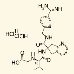 CC(C)[C@@H](NCC(=O)O)C(=O)NC1(C(=O)NCc2ccc(C(=N)N)cc2)Cc2cccnc2C1.Cl.Cl.Cl